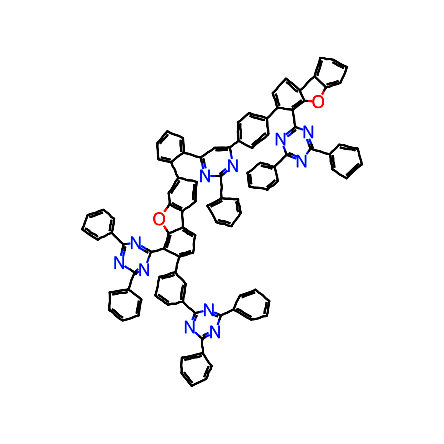 c1ccc(-c2nc(-c3ccc(-c4ccc5c(oc6ccccc65)c4-c4nc(-c5ccccc5)nc(-c5ccccc5)n4)cc3)cc(-c3ccccc3-c3ccc4c(c3)oc3c(-c5nc(-c6ccccc6)nc(-c6ccccc6)n5)c(-c5cccc(-c6nc(-c7ccccc7)nc(-c7ccccc7)n6)c5)ccc34)n2)cc1